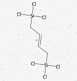 Cl[Si](Cl)(Cl)C/C=C/C[Si](Cl)(Cl)Cl